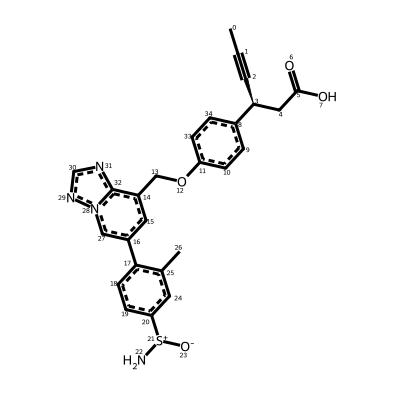 CC#C[C@@H](CC(=O)O)c1ccc(OCc2cc(-c3ccc([S+](N)[O-])cc3C)cn3ncnc23)cc1